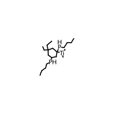 CCCCPC1CC(CC)(CC)C[C](PCCCC)([Ti]([CH3])[CH3])C1